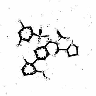 COc1cccc(F)c1-c1ccc([C@H](NS(=O)(=O)c2cc(Cl)cc(Cl)c2)[C@H](C(=O)O)C(=O)C2CCCN2)cc1